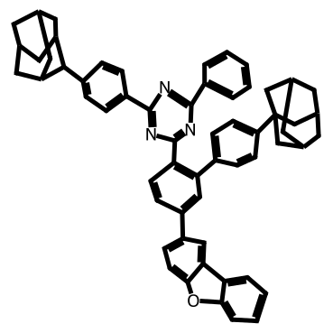 c1ccc(-c2nc(-c3ccc(C4C5CC6CC(C5)CC4C6)cc3)nc(-c3ccc(-c4ccc5oc6ccccc6c5c4)cc3-c3ccc(C45CC6CC(CC(C6)C4)C5)cc3)n2)cc1